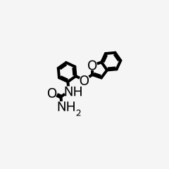 NC(=O)Nc1ccccc1Oc1cc2ccccc2o1